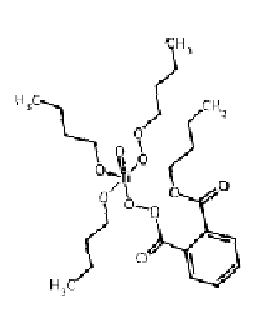 CCCCO[O][Ti](=[O])([O]CCCC)([O]CCCC)[O]OC(=O)c1ccccc1C(=O)OCCCC